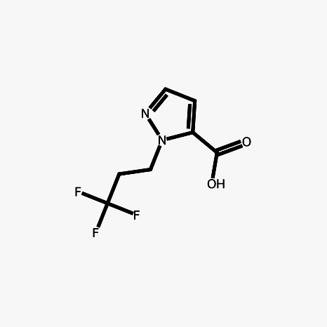 O=C(O)c1ccnn1CCC(F)(F)F